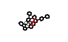 CC1(C)c2ccccc2-c2cccc(-c3cccc(N(c4ccc(-c5ccc(-c6ccccc6)cc5)cc4)c4cccc(-c5ccccc5)c4-c4ccccc4-c4ccccc4)c3)c21